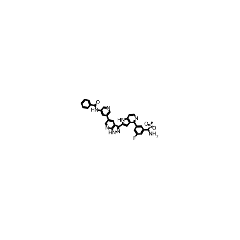 CS(=O)(=O)C(N)c1cc(F)cc(-c2nccc3[nH]c(-c4n[nH]c5ncc(-c6cncc(NC(=O)c7ccccc7)c6)cc45)cc23)c1